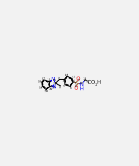 CC1(Cc2ccc(S(=O)(=O)NCC(=O)O)cc2)N=c2ccccc2=N1